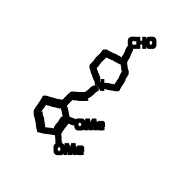 COc1cccc(C=CN2CCC(C=O)CC2)c1OC